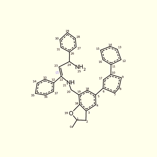 CC1Cc2cc(-c3cccc(-c4ccccc4)c3)cc(CN/C(=C\C(N)c3ccccc3)c3ccccc3)c2O1